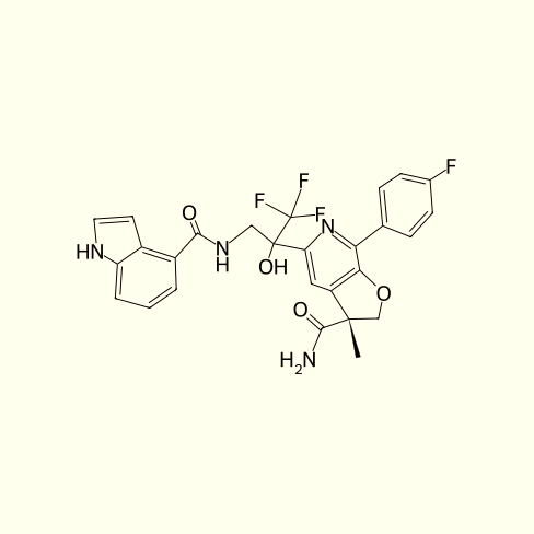 C[C@]1(C(N)=O)COc2c1cc(C(O)(CNC(=O)c1cccc3[nH]ccc13)C(F)(F)F)nc2-c1ccc(F)cc1